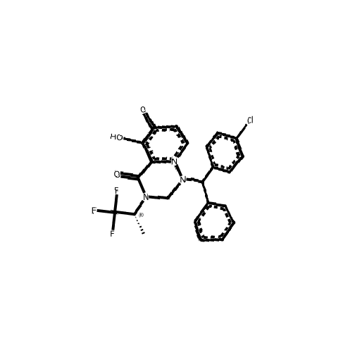 C[C@@H](N1CN(C(c2ccccc2)c2ccc(Cl)cc2)n2ccc(=O)c(O)c2C1=O)C(F)(F)F